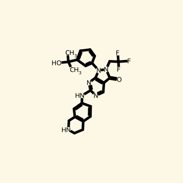 CC(C)(O)c1cccc(-n2c3nc(Nc4ccc5c(c4)CNCC5)ncc3c(=O)n2CC(F)(F)F)c1